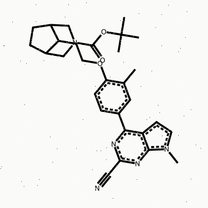 Cc1cc(-c2nc(C#N)nc3c2ccn3C)ccc1OCCC1C2CCC1CN(C(=O)OC(C)(C)C)C2